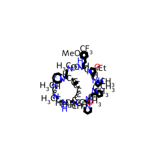 CCO[C@@H]1C[C@H]2CNC3(CN(C)[C@@H](C4CCCC4)CN(C)[C@H](C(=O)N4CCCCC4)CCN(C)[C@H]4CCCCc5ccc(cc5)C[C@@H](CN(C)CCN[C@@H](CCc5ccc(C(F)(F)F)c(OC)c5)CN2C1)N1CC/C=C\C[C@@H](C1)N(C)CCN(C)C[C@H]([C@@H](C)CC)NC4)CC(C)(C)C3